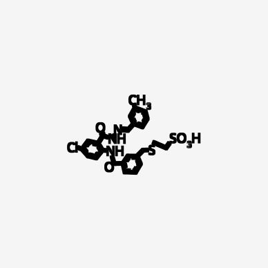 Cc1cccc(C=NNC(=O)c2cc(Cl)ccc2NC(=O)c2cccc(CSCCS(=O)(=O)O)c2)c1